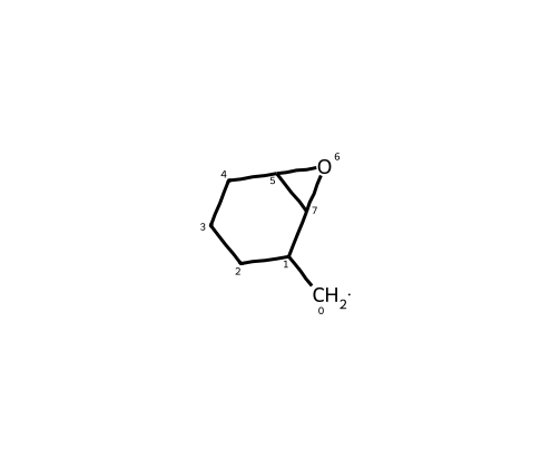 [CH2]C1CCCC2OC12